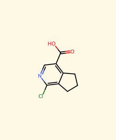 O=C(O)c1cnc(Cl)c2c1CCC2